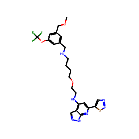 COCc1cc(CNCCCCOCCNc2cc(-c3cnns3)nc3[nH]ncc23)cc(OC(F)(F)F)c1